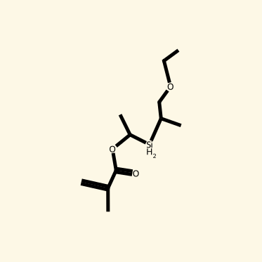 C=C(C)C(=O)OC(C)[SiH2]C(C)COCC